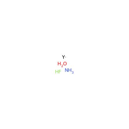 F.N.O.[Y]